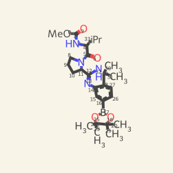 COC(=O)NC(C(=O)N1CCCC1C1=Nc2cc(B3OC(C)(C)C(C)(C)O3)ccc2C(C)(C)N1)C(C)C